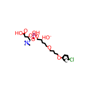 C[N+](C)(C)CC(CC(=O)O)OP(=O)(O)OCCCCCOCCCCOc1ccc(Cl)cc1.[OH-]